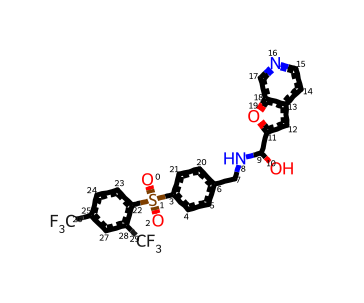 O=S(=O)(c1ccc(CNC(O)c2cc3ccncc3o2)cc1)c1ccc(C(F)(F)F)cc1C(F)(F)F